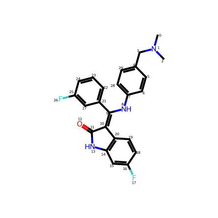 CN(C)Cc1ccc(NC(=C2C(=O)Nc3cc(F)ccc32)c2cccc(F)c2)cc1